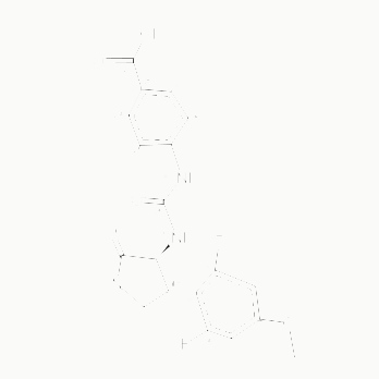 COc1cc(F)c([C@@H]2CNC(=O)[C@H]2NC(=O)Nc2ccc(C(=O)O)cc2)c(F)c1